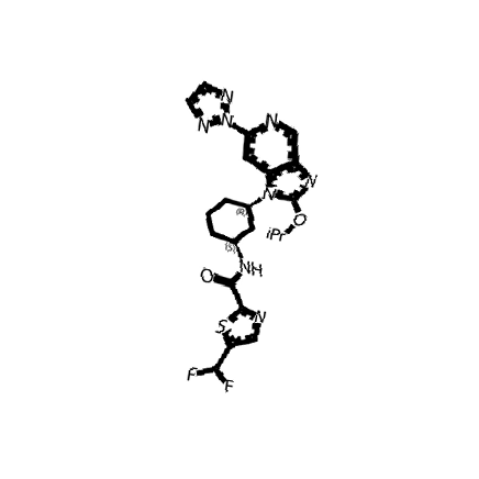 CC(C)Oc1nc2cnc(-n3nccn3)cc2n1[C@@H]1CCC[C@H](NC(=O)c2ncc(C(F)F)s2)C1